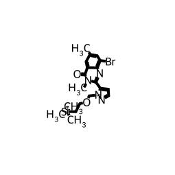 Cc1cc(Br)c2nc(-c3ccnn3COCC[Si](C)(C)C)n(C)c(=O)c2c1